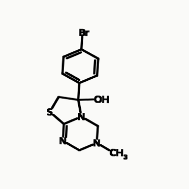 CN1CN=C2SCC(O)(c3ccc(Br)cc3)N2C1